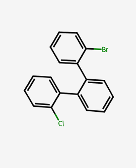 Clc1ccccc1-c1ccccc1-c1ccccc1Br